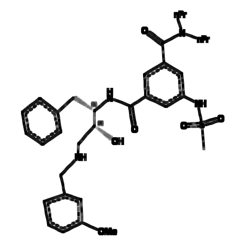 CCCN(CCC)C(=O)c1cc(NS(C)(=O)=O)cc(C(=O)N[C@@H](Cc2ccccc2)[C@H](O)CNCc2cccc(OC)c2)c1